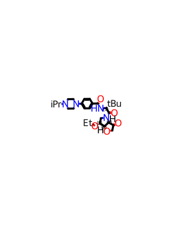 CCO[C@H]1CN(C(=O)[C@@H](NC(=O)c2ccc(N3CCN(C(C)C)CC3)cc2)C(C)(C)C)[C@@H]2C(=O)CO[C@H]12